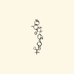 CC(CC(=N)C(=O)C1(c2ccc(N3CCN(OC(=O)C(C)(C)C)CC3)nc2)CC1)c1cccnc1